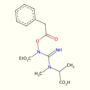 CCOC(=O)N(OC(=O)Cc1ccccc1)C(=N)N(C)C(C)C(=O)O